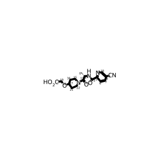 C[C@H](NC(=O)c1ccc(C#N)cn1)C(=O)N1CCC(OCC(=O)O)CC1